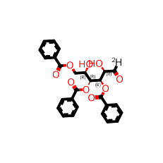 [2H]C(=O)[C@H](O)[C@@H](OC(=O)c1ccccc1)[C@H](OC(=O)c1ccccc1)[C@H](O)COC(=O)c1ccccc1